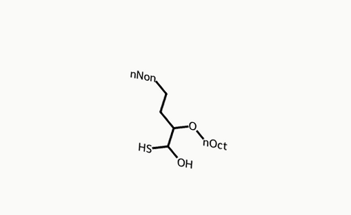 CCCCCCCCCCCC(OCCCCCCCC)C(O)S